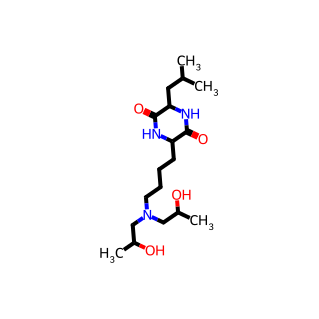 CC(C)CC1NC(=O)C(CCCCN(CC(C)O)CC(C)O)NC1=O